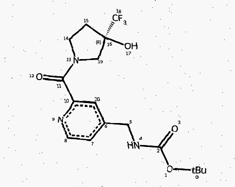 CC(C)(C)OC(=O)NCc1ccnc(C(=O)N2CC[C@](O)(C(F)(F)F)C2)c1